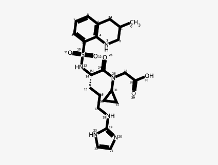 CC1CNc2c(cccc2S(=O)(=O)N[C@@H](CCCNc2ncc[nH]2)C(=O)N(CC(=O)O)C2CC2)C1